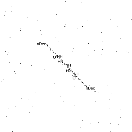 CCCCCCCCCCCCCCCCCC(=O)NCCNCCNCCNCCNC(=O)CCCCCCCCCCCCCCCCC